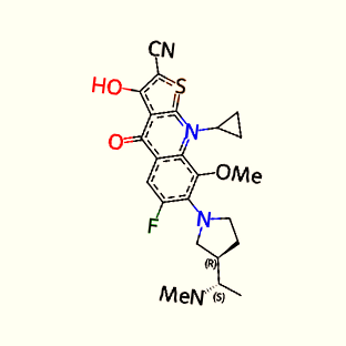 CN[C@@H](C)[C@@H]1CCN(c2c(F)cc3c(=O)c4c(O)c(C#N)sc4n(C4CC4)c3c2OC)C1